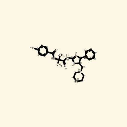 CC(C)(NC(=O)c1ccc(F)cc1)C(=O)NC1=NC(c2ccccc2)C(CN2CCNCC2)S1